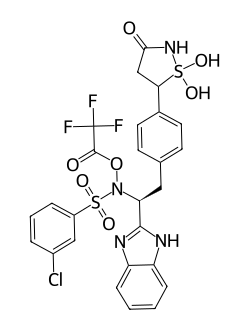 O=C1CC(c2ccc(C[C@@H](c3nc4ccccc4[nH]3)N(OC(=O)C(F)(F)F)S(=O)(=O)c3cccc(Cl)c3)cc2)S(O)(O)N1